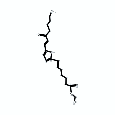 CCCCCC(=O)C=Cc1ccc(CCCCCCC(=O)OCC)s1